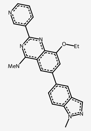 CCOc1cc(-c2ccc3c(cnn3C)c2)cc2c(NC)nc(-c3cccnc3)nc12